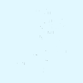 CNCCO[C@@H]([C@@H]1OC(C(=O)OC)=C[C@H](N/C(=N/C(=O)OC(C)(C)C)NC(=O)OC(C)(C)C)[C@H]1C)[C@H]1COC(=O)O1